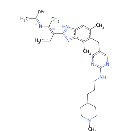 C=C/C(=C(C)\N=C(\C)CCC)c1nc2c(C)c(Cc3cnc(NCCCC4CCN(C)CC4)nc3)c(C)cc2[nH]1